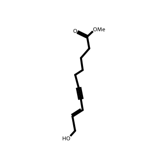 COC(=O)CCCCC#C/C=C/CO